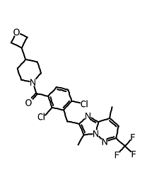 Cc1cc(C(F)(F)F)nn2c(C)c(Cc3c(Cl)ccc(C(=O)N4CCC(C5COC5)CC4)c3Cl)nc12